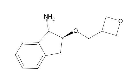 N[C@H]1c2ccccc2C[C@@H]1OCC1COC1